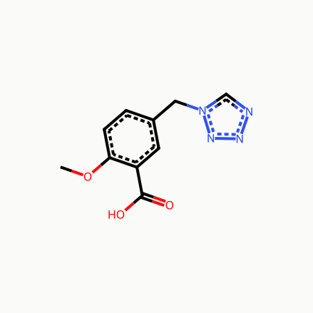 COc1ccc(Cn2cnnn2)cc1C(=O)O